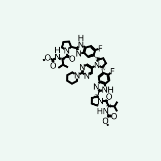 COC(=O)N[C@H](C(=O)N1CCCC1c1nc2cc([C@@H]3CC[C@H](c4cc5nc([C@@H]6CCCN6C(=O)[C@@H](NC(=O)OC)C(C)C)[nH]c5cc4F)N3c3cnc(N4CCCCC4)nc3)c(F)cc2[nH]1)C(C)C